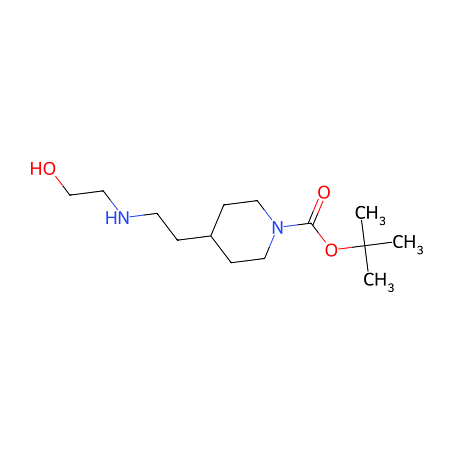 CC(C)(C)OC(=O)N1CCC(CCNCCO)CC1